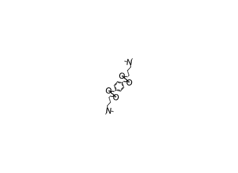 CN(C)CCCS(=O)(=O)c1ccc(S(=O)(=O)CCCN(C)C)cc1